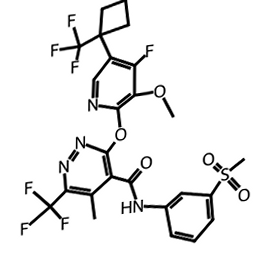 COc1c(Oc2nnc(C(F)(F)F)c(C)c2C(=O)Nc2cccc(S(C)(=O)=O)c2)ncc(C2(C(F)(F)F)CCC2)c1F